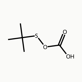 CC(C)(C)SOC(=O)O